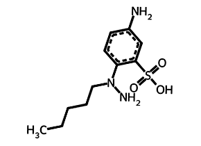 CCCCCN(N)c1ccc(N)cc1S(=O)(=O)O